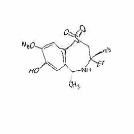 CCCC[C@]1(CC)CS(=O)(=O)c2cc(OC)c(O)cc2[C@@H](C)N1